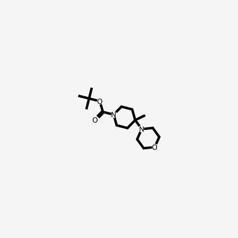 CC(C)(C)OC(=O)N1CCC(C)(N2CCOCC2)CC1